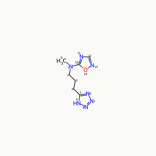 CN(CCCc1nnn[nH]1)c1ncno1